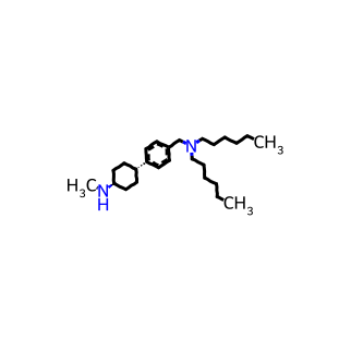 CCCCCCN(CCCCCC)Cc1ccc([C@H]2CC[C@H](NC)CC2)cc1